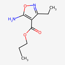 CCCOC(=O)c1c(CC)noc1N